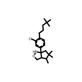 CC1C2CONC2(c2ccc(CCCC(C)(C)C)c(Cl)c2)CC1(C)C